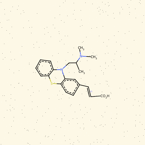 CC(CN1c2ccccc2Sc2ccc(/C=C/C(=O)O)cc21)N(C)C